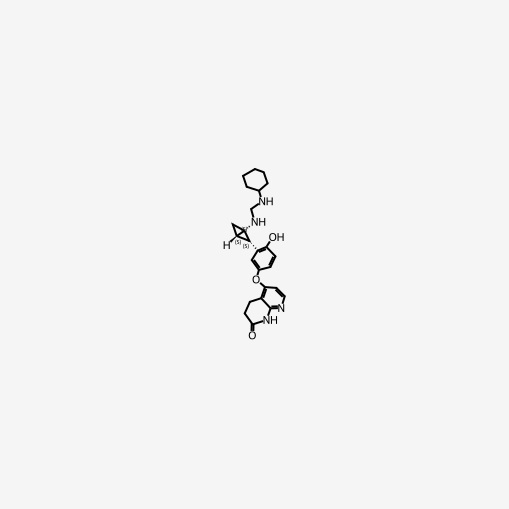 O=C1CCc2c(Oc3ccc(O)c([C@@H]4[C@@H]5C[C@@]45NCNC4CCCCC4)c3)ccnc2N1